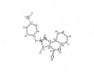 COc1ccc(Cn2nc3c(c2C)c(=O)oc2ccccc23)cc1